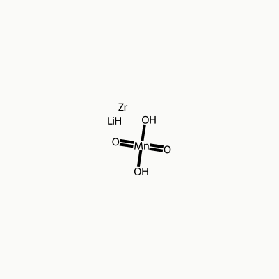 [LiH].[O]=[Mn](=[O])([OH])[OH].[Zr]